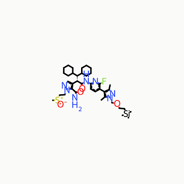 Cc1nn(COCC[Si](C)(C)C)c(C)c1-c1ccc(NC(=O)[C@H](c2cnn(CC[S+](C)[O-])c2C(N)=O)C(C2CCCCC2)C2CCCCC2)nc1F